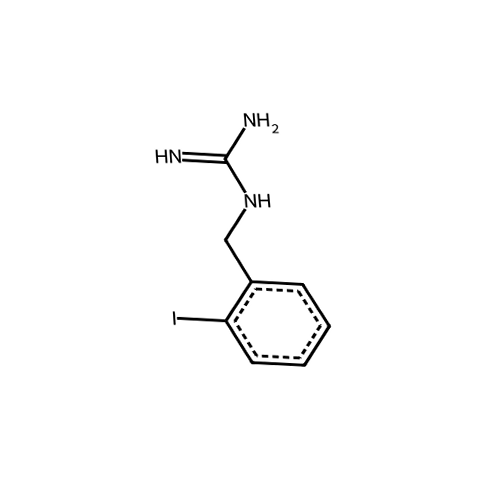 N=C(N)NCc1ccccc1I